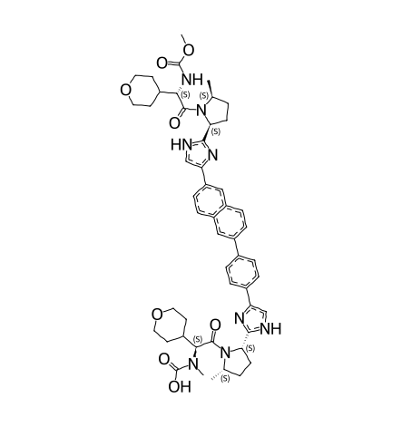 COC(=O)N[C@H](C(=O)N1[C@@H](C)CC[C@H]1c1nc(-c2ccc3cc(-c4ccc(-c5c[nH]c([C@@H]6CC[C@H](C)N6C(=O)[C@H](C6CCOCC6)N(C)C(=O)O)n5)cc4)ccc3c2)c[nH]1)C1CCOCC1